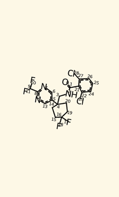 O=C(NCC1(c2cnc(C(F)F)nc2)CCC(F)(F)CC1)c1c(Cl)cccc1Cl